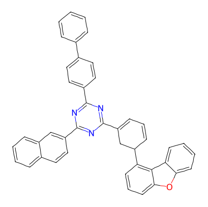 C1=CC(c2cccc3oc4ccccc4c23)CC(c2nc(-c3ccc(-c4ccccc4)cc3)nc(-c3ccc4ccccc4c3)n2)=C1